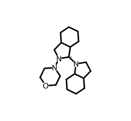 C1CCC2[C](N3CCC4CCCCC43)N(N3CCOCC3)CC2C1